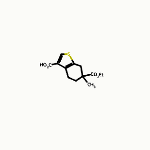 CCOC(=O)C1(C)CCc2c(C(=O)O)csc2C1